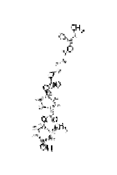 C=CC(=O)OCCCCOC(=O)Oc1ccc(C(=O)Oc2ccc(O)cc2C)cc1